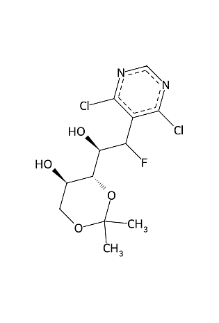 CC1(C)OC[C@@H](O)[C@H]([C@@H](O)C(F)c2c(Cl)ncnc2Cl)O1